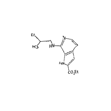 CCOC(=O)c1cc2ccnc(NCC(O)CC)c2[nH]1